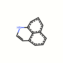 [c]1ccc2cccc3c2c1NC=C3